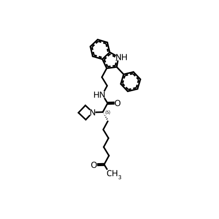 CC(=O)CCCCC[C@@H](C(=O)NCCc1c(-c2ccccc2)[nH]c2ccccc12)N1CCC1